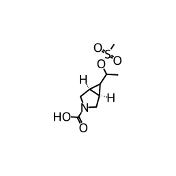 CC(OS(C)(=O)=O)C1[C@H]2CN(C(=O)O)C[C@@H]12